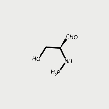 O=C[C@H](CO)NP